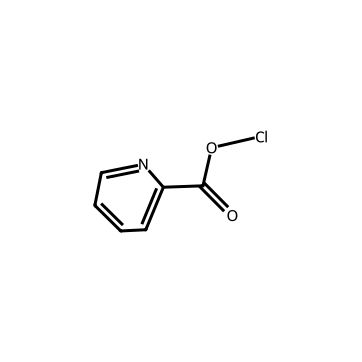 O=C(OCl)c1ccccn1